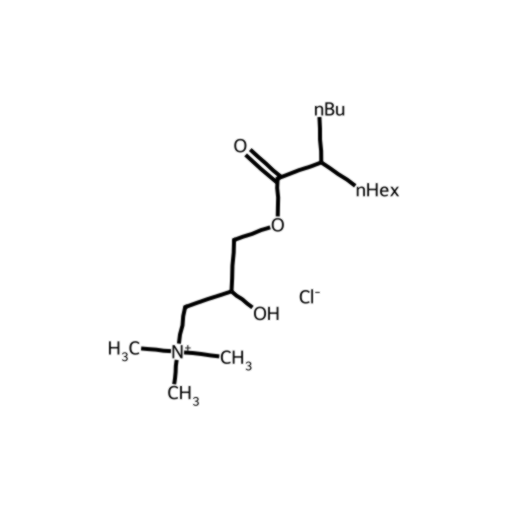 CCCCCCC(CCCC)C(=O)OCC(O)C[N+](C)(C)C.[Cl-]